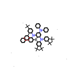 CC(C)(C)c1ccc(N2c3cc(-c4ccccc4)ccc3B3c4cc5c(cc4N(c4ccc6c(c4)C(C)(C)CC6(C)C)c4cc(N(c6ccccc6)c6ccccc6)cc2c43)C(C)(C)CC5(C)C)c(-c2ccccc2)c1